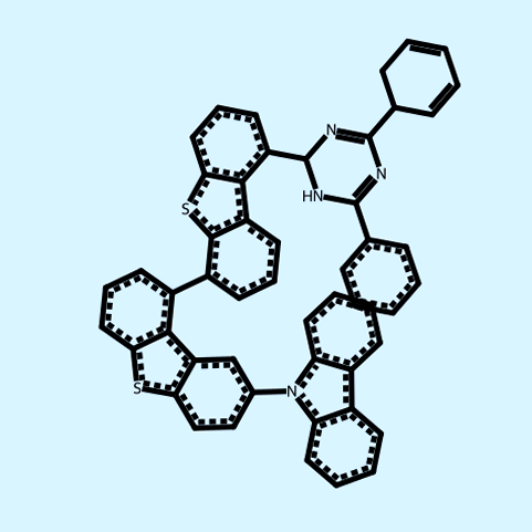 C1=CCC(C2=NC(c3cccc4sc5c(-c6cccc7sc8ccc(-n9c%10ccccc%10c%10ccccc%109)cc8c67)cccc5c34)NC(c3ccccc3)=N2)C=C1